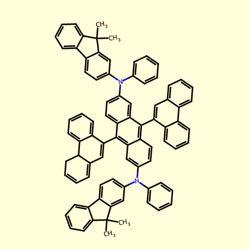 CC1(C)c2ccccc2-c2ccc(N(c3ccccc3)c3ccc4c(-c5cc6ccccc6c6ccccc56)c5cc(N(c6ccccc6)c6ccc7c(c6)C(C)(C)c6ccccc6-7)ccc5c(C5=CC6=CC=CCC6c6ccccc65)c4c3)cc21